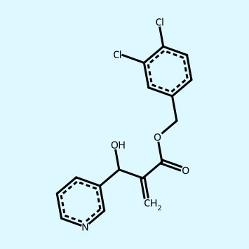 C=C(C(=O)OCc1ccc(Cl)c(Cl)c1)C(O)c1cccnc1